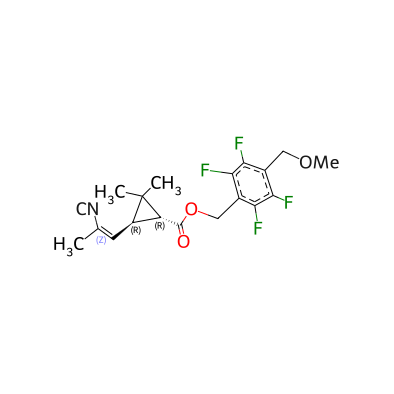 COCc1c(F)c(F)c(COC(=O)[C@@H]2[C@@H](/C=C(/C)C#N)C2(C)C)c(F)c1F